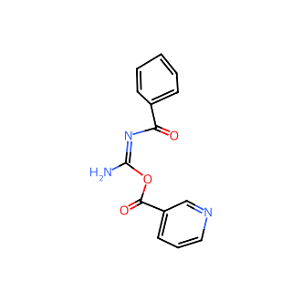 NC(=NC(=O)c1ccccc1)OC(=O)c1cccnc1